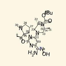 C[C@H](Oc1nc(/C(N)=N/O)cc(N2C[C@H](C)N(C(=O)OC(C)(C)C)[C@@H](C)C2)n1)[C@@H]1CCCN1C